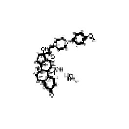 COc1ccc(N2CCN(CC(=O)[C@@]3(O)CC[C@H]4[C@@H]5CCC6=CC(=O)C=C[C@]6(C)[C@H]5[C@@H](O)C[C@@]43C)CC2)cc1.Cl.Cl